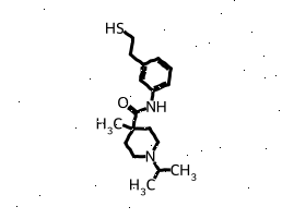 CC(C)N1CCC(C)(C(=O)Nc2cccc(CCS)c2)CC1